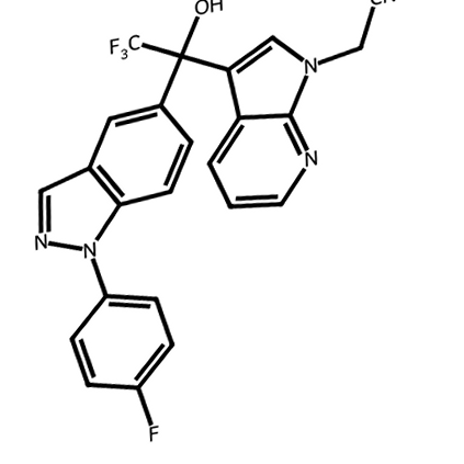 N#CCn1cc(C(O)(c2ccc3c(cnn3-c3ccc(F)cc3)c2)C(F)(F)F)c2cccnc21